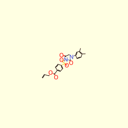 C=CCOC(=O)c1ccc(S(=O)(=O)N2C(=O)CN(c3ccc(C)c(C)c3)C2=O)cc1